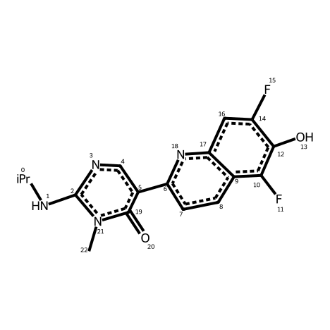 CC(C)Nc1ncc(-c2ccc3c(F)c(O)c(F)cc3n2)c(=O)n1C